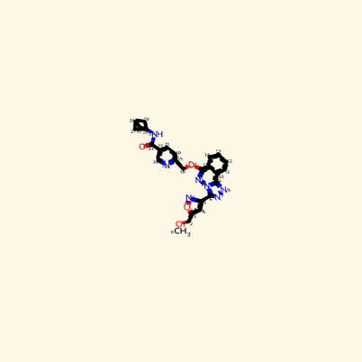 COCc1cc(-c2nnc3c4ccccc4c(OCc4ccc(C(=O)NC56CC(C5)C6)cn4)nn23)no1